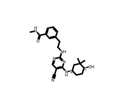 CNC(=O)c1cccc(CCNc2ncc(C#N)c(N[C@@H]3CC[C@H](O)C(C)(C)C3)n2)c1